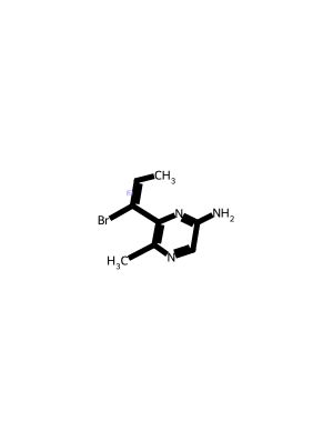 C/C=C(/Br)c1nc(N)cnc1C